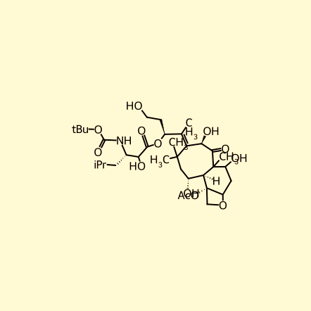 CC(=O)O[C@@]12COC1CC(O)C1(C)C(=O)[C@H](O)/C(=C(\C)[C@H](CCO)OC(=O)C(O)[C@H](CC(C)C)NC(=O)OC(C)(C)C)C(C)(C)C[C@@H](O)[C@@H]12